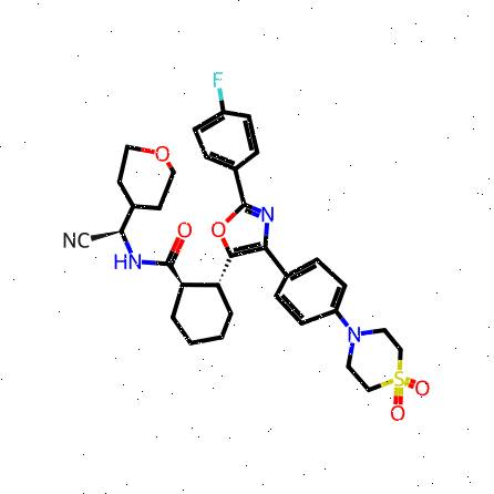 N#C[C@H](NC(=O)[C@@H]1CCCC[C@H]1c1oc(-c2ccc(F)cc2)nc1-c1ccc(N2CCS(=O)(=O)CC2)cc1)C1CCOCC1